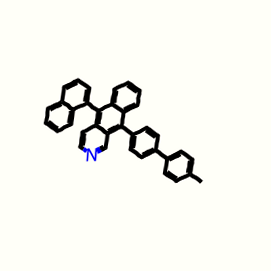 Cc1ccc(-c2ccc(-c3c4ccccc4c(-c4cccc5ccccc45)c4ccncc34)cc2)cc1